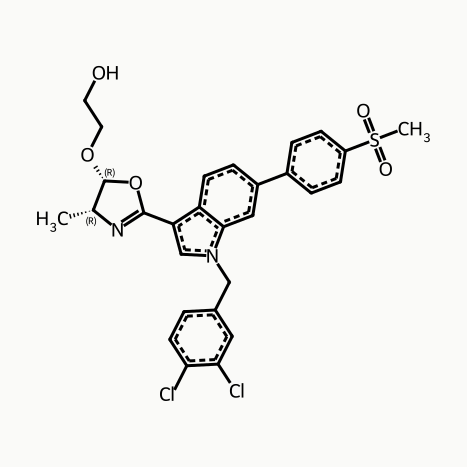 C[C@H]1N=C(c2cn(Cc3ccc(Cl)c(Cl)c3)c3cc(-c4ccc(S(C)(=O)=O)cc4)ccc23)O[C@H]1OCCO